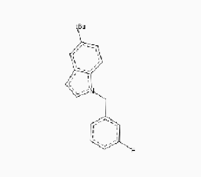 CC(C)(C)c1ccc2c(ccn2Cc2cccc(F)c2)c1